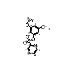 CCCOc1cc(C)cc(OS(=O)(=O)c2cnccn2)c1